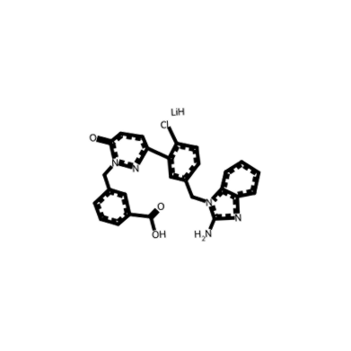 Nc1nc2ccccc2n1Cc1ccc(Cl)c(-c2ccc(=O)n(Cc3cccc(C(=O)O)c3)n2)c1.[LiH]